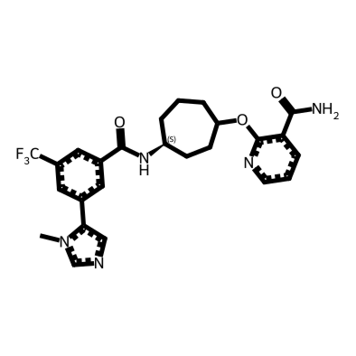 Cn1cncc1-c1cc(C(=O)N[C@H]2CCCC(Oc3ncccc3C(N)=O)CC2)cc(C(F)(F)F)c1